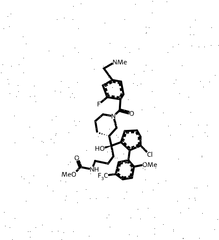 CNCc1ccc(C(=O)N2CCC[C@@H]([C@@](O)(CCCNC(=O)OC)c3cccc(Cl)c3-c3cc(C(F)(F)F)ccc3OC)C2)c(F)c1